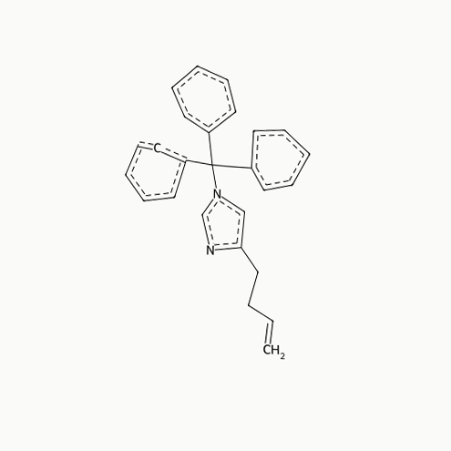 C=CCCc1cn(C(c2ccccc2)(c2ccccc2)c2ccccc2)cn1